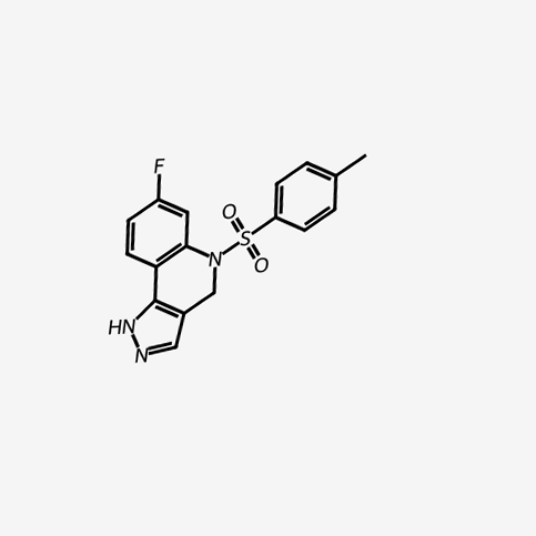 Cc1ccc(S(=O)(=O)N2Cc3cn[nH]c3-c3ccc(F)cc32)cc1